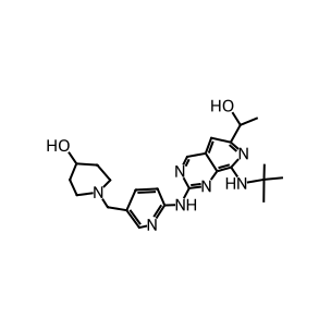 CC(O)c1cc2cnc(Nc3ccc(CN4CCC(O)CC4)cn3)nc2c(NC(C)(C)C)n1